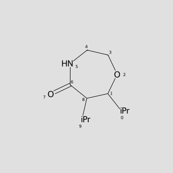 CC(C)C1OCCNC(=O)C1C(C)C